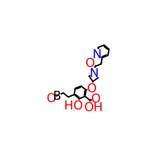 O=BCCc1ccc(OC2CN(C(=O)Cc3ccccn3)C2)c(C(=O)O)c1O